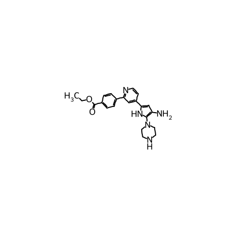 CCOC(=O)c1ccc(-c2cc(-c3cc(N)c(N4CCNCC4)[nH]3)ccn2)cc1